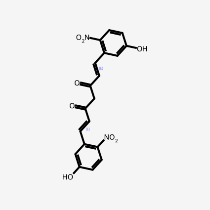 O=C(/C=C/c1cc(O)ccc1[N+](=O)[O-])CC(=O)/C=C/c1cc(O)ccc1[N+](=O)[O-]